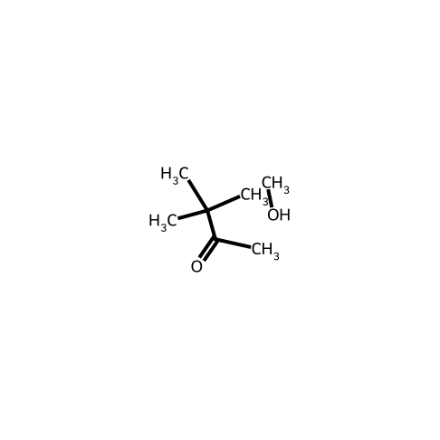 CC(=O)C(C)(C)C.CO